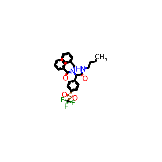 CCCCNC(=O)C(c1ccc(S(=O)(=O)C(F)(F)F)cc1)N(Cc1ccccc1)C(=O)c1ccccc1